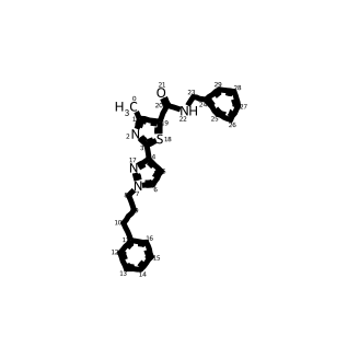 Cc1nc(-c2ccn(CCCc3ccccc3)n2)sc1C(=O)NCc1ccccc1